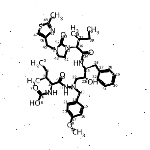 CC[C@H](C)[C@H](NC(=O)O)C(=O)NN(Cc1ccc(OC)cc1)C[C@H](O)[C@H](Cc1ccccc1)NC(=O)[C@H]([C@@H](C)CC)N1CCN(Cc2csc(C)n2)C1=O